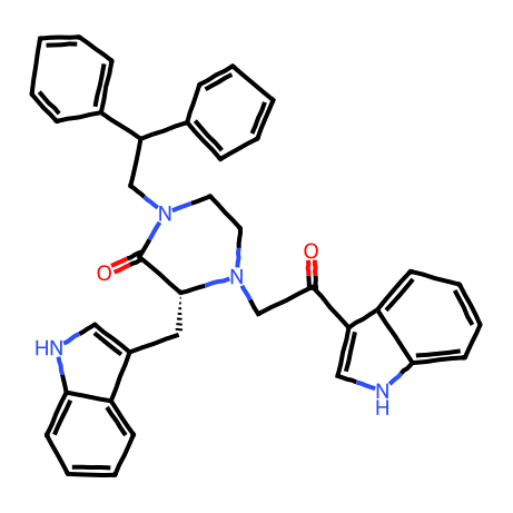 O=C(CN1CCN(CC(c2ccccc2)c2ccccc2)C(=O)[C@H]1Cc1c[nH]c2ccccc12)c1c[nH]c2ccccc12